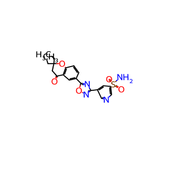 CCC1(CC)CC(=O)c2cc(-c3nc(-c4cncc(S(N)(=O)=O)c4)no3)ccc2O1